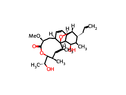 C=CC[C@@H]1C(C)[C@@H](O)[C@@H]2[C@H]3C=C[C@@H]4C[C@H](OC)C(=O)O[C@H]([C@@H](C)O)[C@H](C)/C=C(\C)[C@@]24O[C@H]31